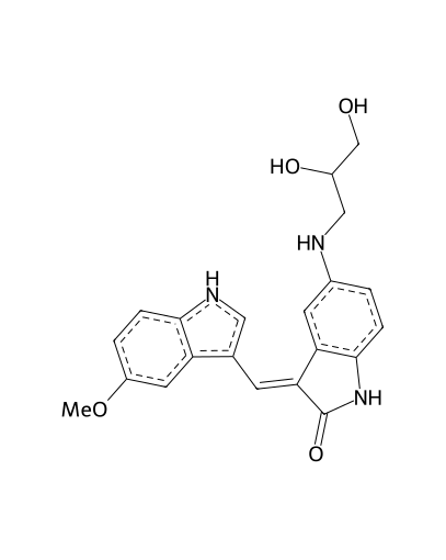 COc1ccc2[nH]cc(/C=C3/C(=O)Nc4ccc(NCC(O)CO)cc43)c2c1